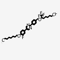 CCCCCCCCOc1ccc(-c2cnc(-c3ccc(COC(CCCCCC)C(F)(F)F)cc3)nc2)cc1F